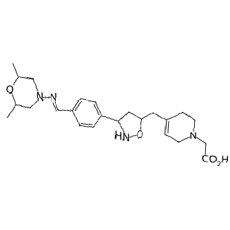 CC1CN(N=Cc2ccc(C3CC(CC4=CCN(CC(=O)O)CC4)ON3)cc2)CC(C)O1